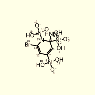 NC1([N+]([O-])(O)O)C=C([N+]([O-])(O)O)C=C(Br)N1[N+]([O-])(O)O